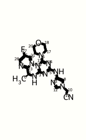 C[C@H](Nc1nc(Nc2cn(CC#N)cn2)nc(N2CCOCC2)n1)c1ncc(F)cn1